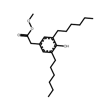 CCCCCCc1cc(CC(=O)OOC)cc(CCCCCC)c1O